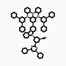 N#Cc1cc(-c2nc(-c3ccccc3)cc(-c3ccccc3)n2)cc(-n2c3ccccc3c3cc(-c4cc5c6c(c4)N(c4cc(-c7ccccc7)cc(-c7ccccc7)c4)c4ccccc4B6c4ccccc4N5c4cc(-c5ccccc5)cc(-c5ccccc5)c4)ccc32)c1